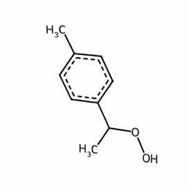 Cc1ccc(C(C)OO)cc1